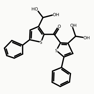 O=C(c1sc(-c2ccccc2)cc1C(O)O)c1sc(-c2ccccc2)cc1C(O)O